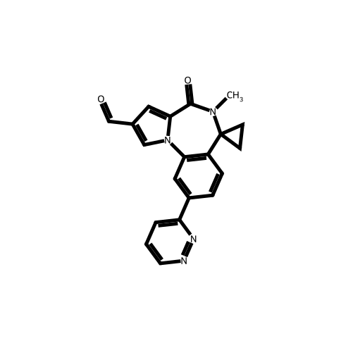 CN1C(=O)c2cc(C=O)cn2-c2cc(-c3cccnn3)ccc2C12CC2